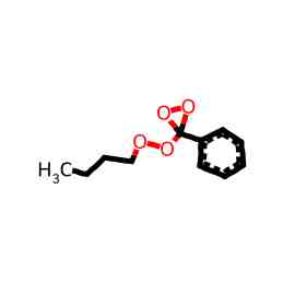 CCCCOOC1(c2ccccc2)OO1